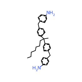 CCCCCCCC(C)(c1ccc(Cc2ccc(N)cc2)cc1)c1ccc(Cc2ccc(N)cc2)cc1